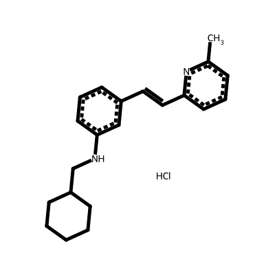 Cc1cccc(C=Cc2cccc(NCC3CCCCC3)c2)n1.Cl